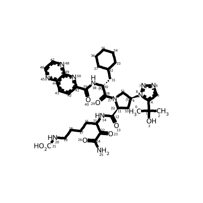 CC(C)(O)c1cnnn1[C@H]1C[C@@H](C(=O)NC(CCCCNC(=O)O)C(=O)C(N)=O)N(C(=O)[C@@H](CC2CCCCC2)NC(=O)c2ccc3nccnc3n2)C1